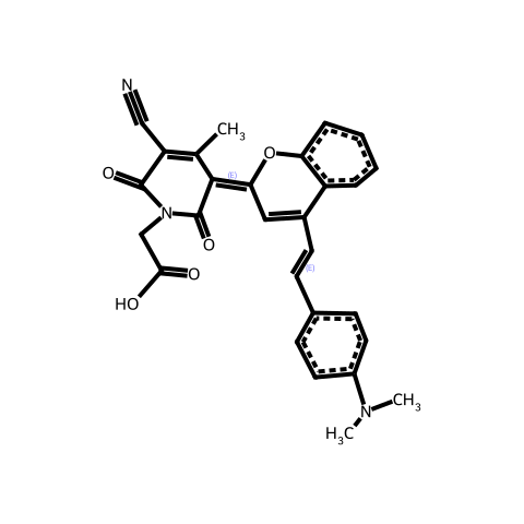 CC1=C(C#N)C(=O)N(CC(=O)O)C(=O)/C1=C1C=C(/C=C/c2ccc(N(C)C)cc2)c2ccccc2O\1